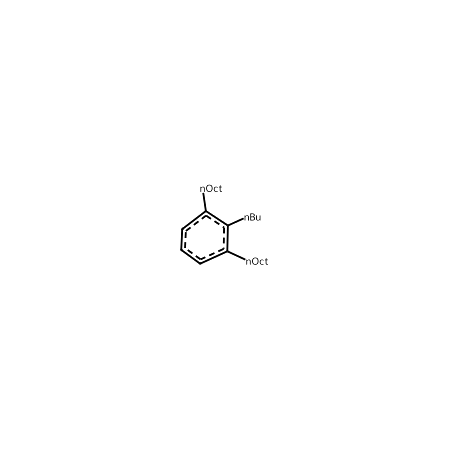 [CH2]CCCc1c(CCCCCCCC)cccc1CCCCCCCC